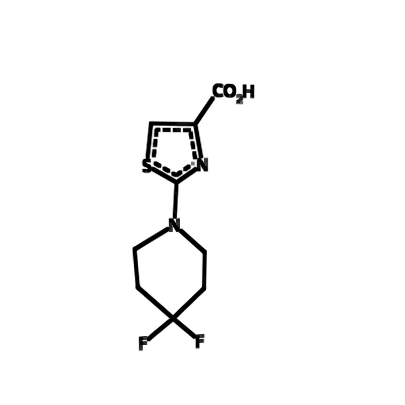 O=C(O)c1csc(N2CCC(F)(F)CC2)n1